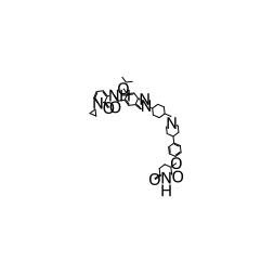 CC(C)Oc1cc2nn(C3CCC(CN4CCC(c5ccc(OC6CCC(=O)NC6=O)cc5)CC4)CC3)cc2cc1C(=O)Nc1cccn(C2CC2)c1=O